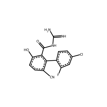 N#Cc1ccc(O)c(C(=O)NC(=N)N)c1-c1ccc(Cl)cc1F